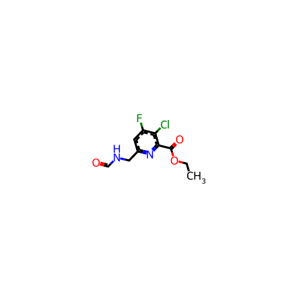 CCOC(=O)c1nc(CNC=O)cc(F)c1Cl